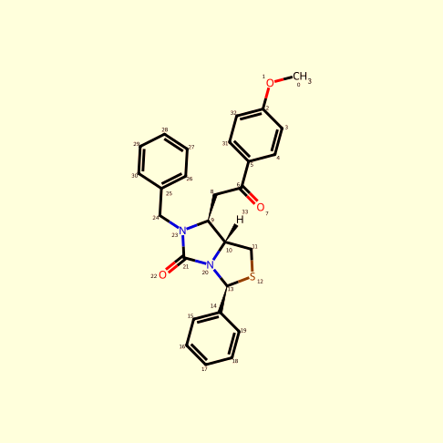 COc1ccc(C(=O)C[C@H]2[C@@H]3CS[C@@H](c4ccccc4)N3C(=O)N2Cc2ccccc2)cc1